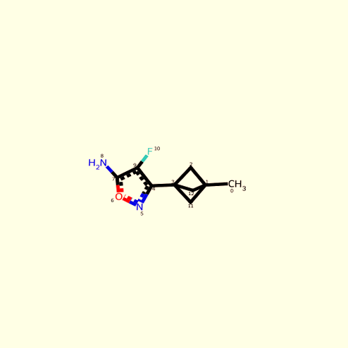 CC12CC(c3noc(N)c3F)(C1)C2